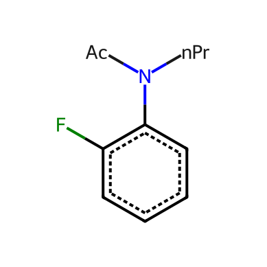 [CH2]CCN(C(C)=O)c1ccccc1F